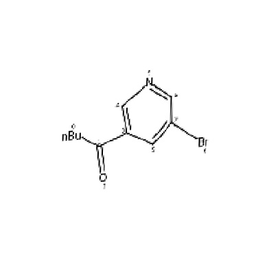 CCCCC(=O)c1cncc(Br)c1